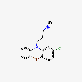 CC(C)NCCCN1c2ccccc2Sc2ccc(Cl)cc21